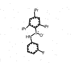 CC(C)c1cc(C(C)C)c([S+]([O-])Nc2cccc(F)c2)c(C(C)C)c1